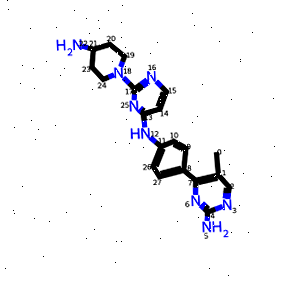 Cc1cnc(N)nc1-c1ccc(Nc2ccnc(N3CCC(N)CC3)n2)cc1